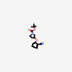 CC(C)(C)OC(=O)N1CCC(Oc2ccccc2C#N)C1